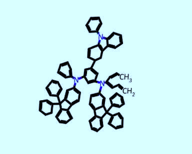 C=C/C=C(\C=C/C)N(c1cc(C2C=Cc3c(c4ccccc4n3-c3ccccc3)C2)cc(N(c2ccccc2)c2ccc3c(c2)C(C2=CC=CCC2)(c2ccccc2)c2ccccc2-3)c1)c1ccc2c(c1)C(c1ccccc1)(c1ccccc1)c1ccccc1-2